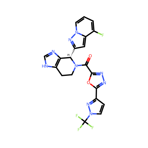 O=C(c1nnc(-c2ccn(C(F)(F)F)n2)o1)N1CCc2[nH]cnc2[C@@H]1c1cc2c(F)cccn2n1